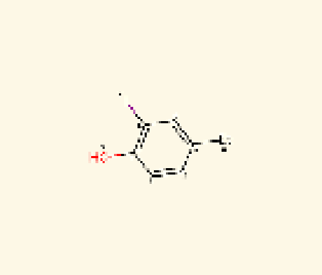 CCc1ccc(O)c(I)c1